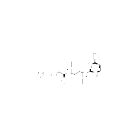 CCc1ccnc(NCCNC(=O)COC)n1